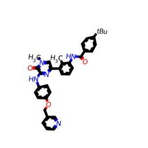 Cc1c(NC(=O)c2ccc(C(C)(C)C)cc2)cccc1-c1cn(C)c(=O)c(Nc2ccc(OCc3cccnc3)cc2)n1